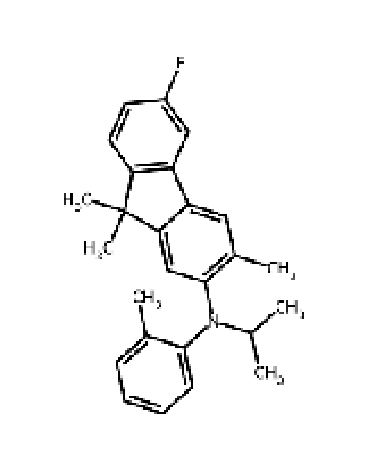 Cc1ccccc1N(c1cc2c(cc1C)-c1cc(F)ccc1C2(C)C)C(C)C